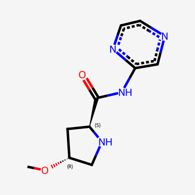 CO[C@H]1CN[C@H](C(=O)Nc2cnccn2)C1